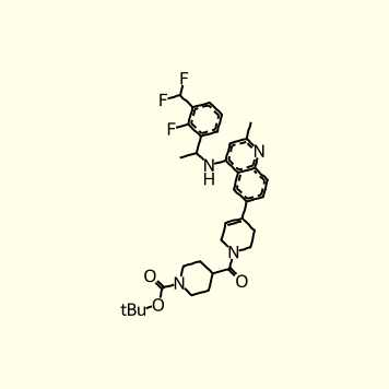 Cc1cc(NC(C)c2cccc(C(F)F)c2F)c2cc(C3=CCN(C(=O)C4CCN(C(=O)OC(C)(C)C)CC4)CC3)ccc2n1